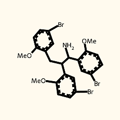 COc1ccc(Br)cc1CC(c1cc(Br)ccc1OC)C(N)c1cc(Br)ccc1OC